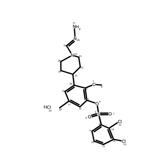 COc1c(OS(=O)(=O)c2cccc(Cl)c2Cl)cc(C)cc1C1CCN(C=NN)CC1.Cl